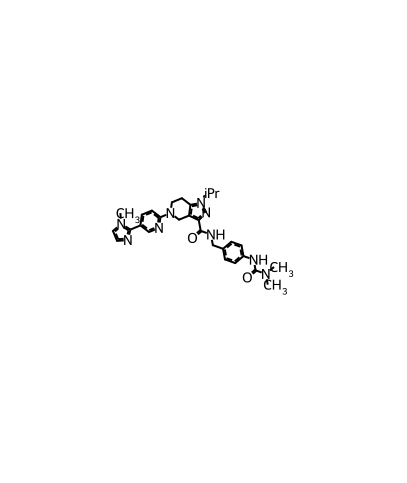 CC(C)n1nc(C(=O)NCc2ccc(NC(=O)N(C)C)cc2)c2c1CCN(c1ccc(-c3nccn3C)cn1)C2